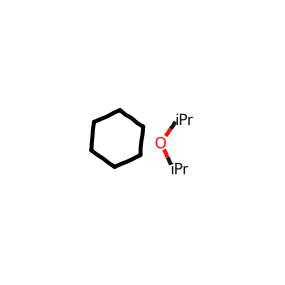 C1CCCCC1.CC(C)OC(C)C